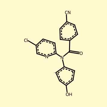 N#Cc1ccc(C(=O)N(c2[c]cc(O)cc2)c2ccc(Cl)cn2)cc1